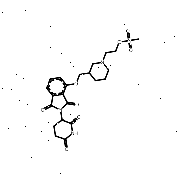 CS(=O)(=O)OCCN1CCCC(COc2cccc3c2C(=O)N(C2CCC(=O)NC2=O)C3=O)C1